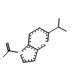 NC(=O)n1ccc2nc(C(F)F)ccc21